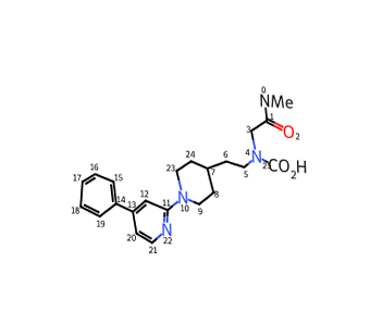 CNC(=O)CN(CCC1CCN(c2cc(-c3ccccc3)ccn2)CC1)C(=O)O